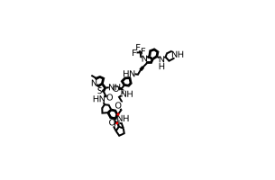 Cc1ccc2c(N)c(C(=O)NC3CCc4cc(N5CC6CCC(C5)C6C(=O)NCCOCCNC(=O)c5ccc(NCC#Cc6cc7c(NC8CCNCC8)cccc7n6CC(F)(F)F)cc5)ccc4C3)sc2n1